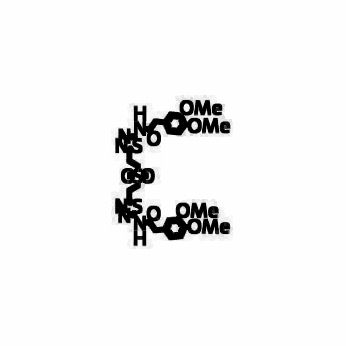 COc1ccc(CC(=O)Nc2nnc(CCS(=O)(=O)CCc3nnc(NC(=O)Cc4ccc(OC)c(OC)c4)s3)s2)cc1OC